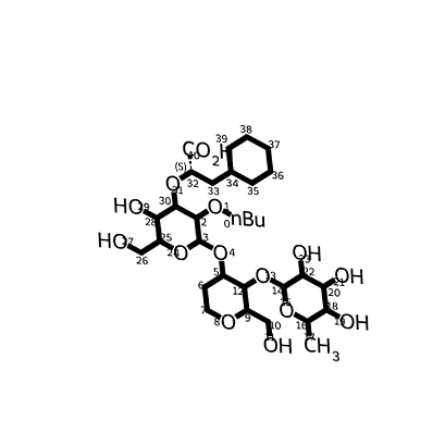 CCCCOC1C(OC2CCOC(CO)C2OC2OC(C)C(O)C(O)C2O)OC(CO)C(O)C1O[C@@H](CC1CCCCC1)C(=O)O